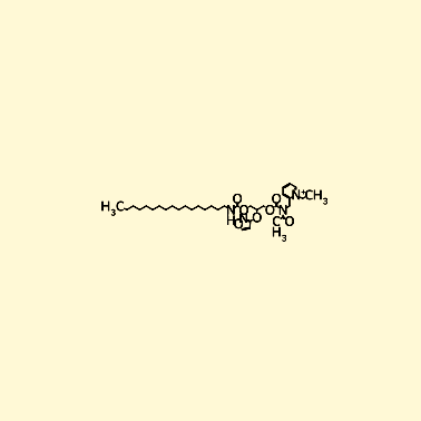 CCCCCCCCCCCCCCCCCNC(=O)OCC(COC(=O)N(Cc1cccc[n+]1CC)C(C)=O)Oc1ccon1